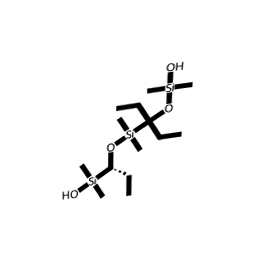 CC[C@@H](O[Si](C)(C)C(CC)(CC)O[Si](C)(C)O)[Si](C)(C)O